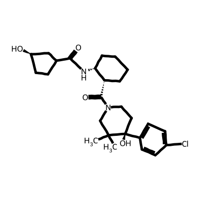 CC1(C)CN(C(=O)[C@H]2CCCC[C@H]2NC(=O)C2CC[C@@H](O)C2)CC[C@]1(O)c1ccc(Cl)cc1